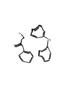 CC(C)CC(=O)c1ccccc1.c1ccc(Pc2ccccc2)cc1